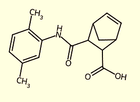 Cc1ccc(C)c(NC(=O)C2C3C=CC(C3)C2C(=O)O)c1